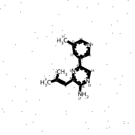 CC(C)=Cc1nc(-c2cncc(C)c2)cnc1N